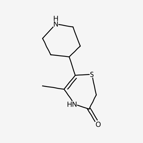 CC1=C(C2CCNCC2)SCC(=O)N1